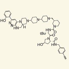 C#Cc1ccc(CNC(=O)[C@@H]2C[C@@H](O)CN2C(=O)[C@@H](NC(=O)N2CCC[C@H](CN3CCC(N4CCC(N5CCN6c7cc(-c8ccccc8O)nnc7NC[C@H]6C5)CC4)CC3)C2)C(C)(C)C)cc1